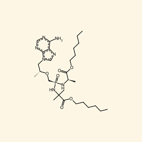 CCCCCCOC(=O)[C@@H](C)N[P@](=O)(CO[C@H](C)Cn1cnc2c(N)ncnc21)NC(C)(C)C(=O)OCCCCCC